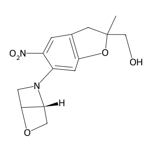 CC1(CO)Cc2cc([N+](=O)[O-])c(N3CC4OC[C@H]43)cc2O1